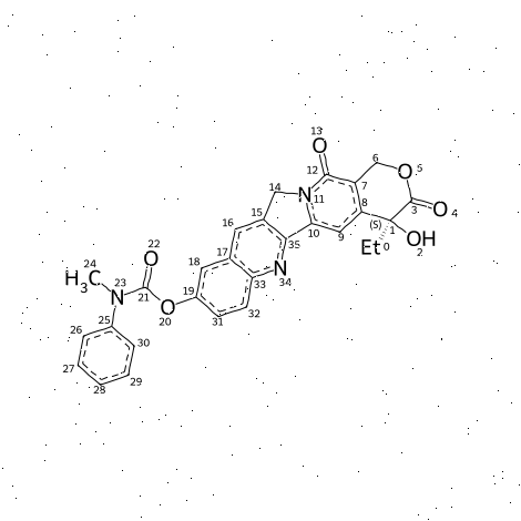 CC[C@@]1(O)C(=O)OCc2c1cc1n(c2=O)Cc2cc3cc(OC(=O)N(C)c4ccccc4)ccc3nc2-1